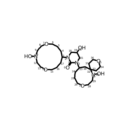 O=C1N(C2CCCOCCN(O)CCOCCC2)CC(O)CN1C1CCCOCCN(O)C2(CCOCC2)C1